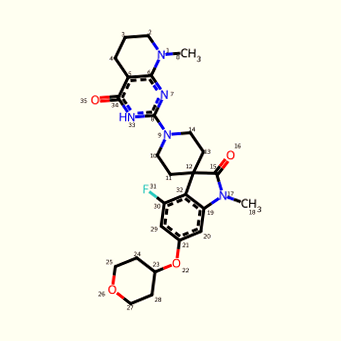 CN1CCCc2c1nc(N1CCC3(CC1)C(=O)N(C)c1cc(OC4CCOCC4)cc(F)c13)[nH]c2=O